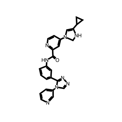 O=C(Nc1cccc(-c2nncn2-c2cccnc2)c1)c1cc(N2C=C(C3CC3)NC2)ccn1